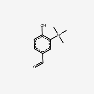 C[N+](C)(C)c1cc(C=O)ccc1O